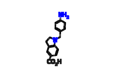 Nc1ccc(CN2CCc3cc(C(=O)O)ccc32)cc1